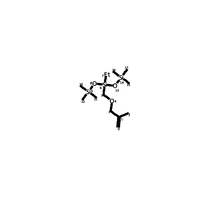 C=C(C)COC[Si](CC)(O[Si](C)(C)C)O[Si](C)(C)C